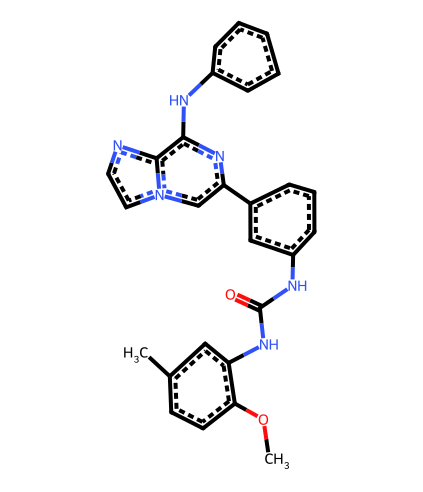 COc1ccc(C)cc1NC(=O)Nc1cccc(-c2cn3ccnc3c(Nc3ccccc3)n2)c1